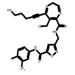 Cc1ccc(NC(=O)c2cc(CNC(=O)C3=C(CCl)C(C#CCCCO)=NCC=N3)no2)cc1C(F)(F)F